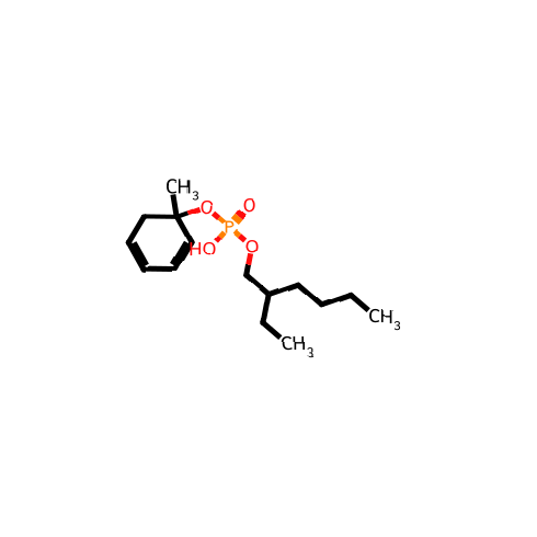 CCCCC(CC)COP(=O)(O)OC1(C)C=CC=CC1